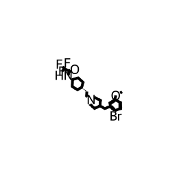 COc1ccc(Br)c(CC2CCN(CC[C@H]3CC[C@H](NC(=O)C(F)(F)F)CC3)CC2)c1